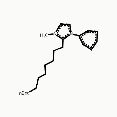 CCCCCCCCCCCCCCCCCc1n(-c2ccccc2)cc[n+]1C